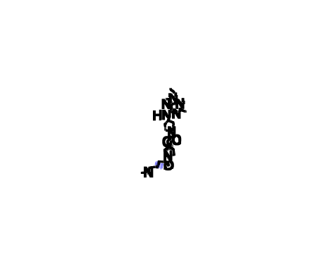 CCn1cnc2c(NC3CCN(C(=O)O[C@H]4CCN(C(=O)/C=C/CN(C)C)C4)CC3)nc(C)nc21